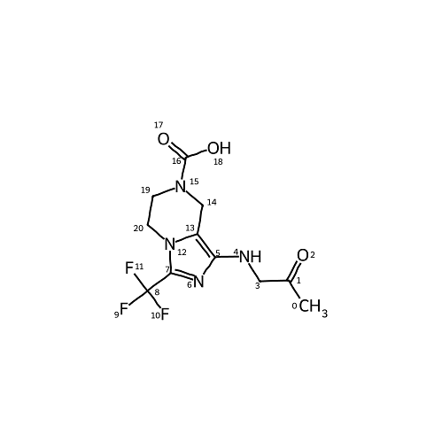 CC(=O)CNc1nc(C(F)(F)F)n2c1CN(C(=O)O)CC2